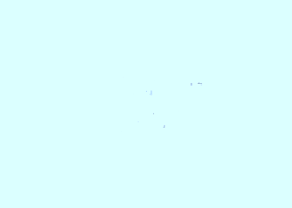 CCCCCC(C)C(O)C12NC(=O)C(CCCl)C1(C)OC2=O